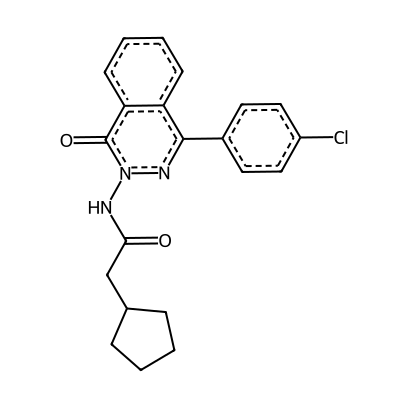 O=C(CC1CCCC1)Nn1nc(-c2ccc(Cl)cc2)c2ccccc2c1=O